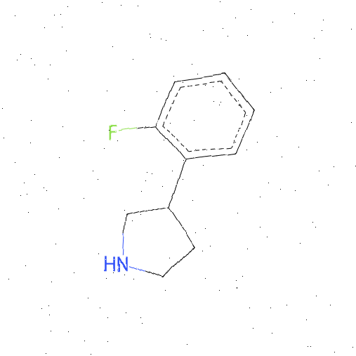 Fc1ccccc1C1CCNC1